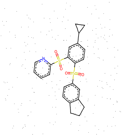 O=S(=O)(c1ccc2c(c1)CCC2)c1ccc(C2CC2)cc1S(=O)(=O)c1ccccn1